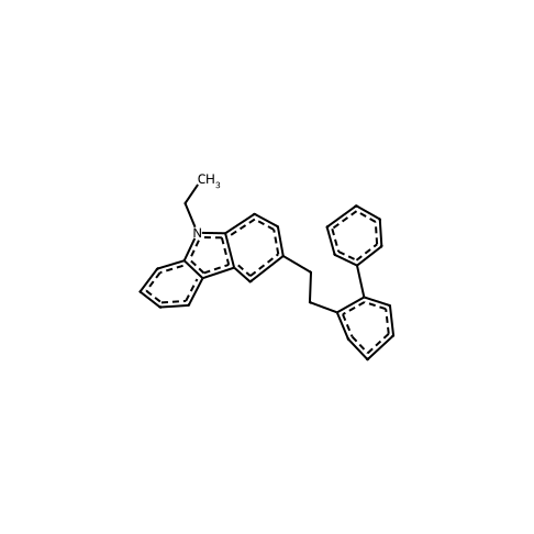 CCn1c2ccccc2c2cc(CCc3ccccc3-c3ccccc3)ccc21